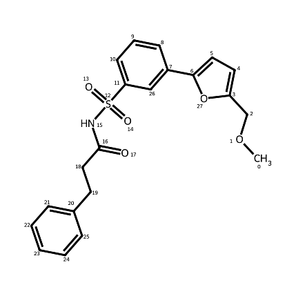 COCc1ccc(-c2cccc(S(=O)(=O)NC(=O)CCc3ccccc3)c2)o1